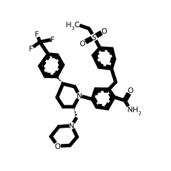 CCS(=O)(=O)c1ccc(Cc2cc(N3C[C@@H](c4ccc(C(F)(F)F)cc4)CC[C@H]3CN3CCOCC3)ccc2C(N)=O)cc1